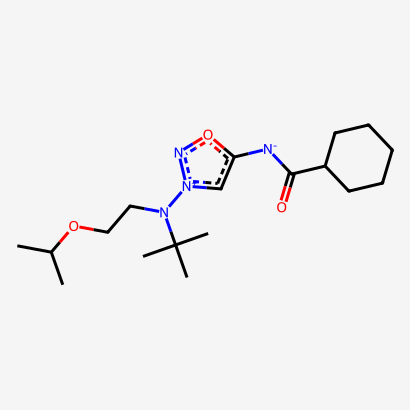 CC(C)OCCN([n+]1cc([N-]C(=O)C2CCCCC2)on1)C(C)(C)C